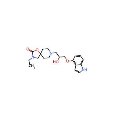 CCN1CC2(CCN(CC(O)COc3cccc4[nH]ccc34)CC2)OC1=O